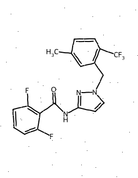 Cc1ccc(C(F)(F)F)c(Cn2ccc(NC(=O)c3c(F)cccc3F)n2)c1